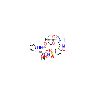 CC(C)CN(C[C@@H](O)[C@H](Cc1ccccc1)NC(=O)OC1CO[C@H]2OCC[C@@H]12)S(=O)(=O)c1ccc2onc(CNC(C)C)c2c1